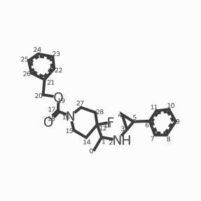 CC(NC1CC1c1ccccc1)C1(F)CCN(C(=O)OCc2ccccc2)CC1